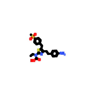 CCN(C(=O)O)c1nc(CCc2ccc(N)cc2)c(Cc2ccc(S(C)(=O)=O)cc2)s1